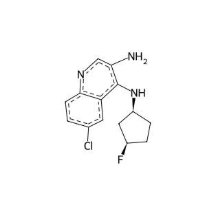 Nc1cnc2ccc(Cl)cc2c1N[C@H]1CC[C@@H](F)C1